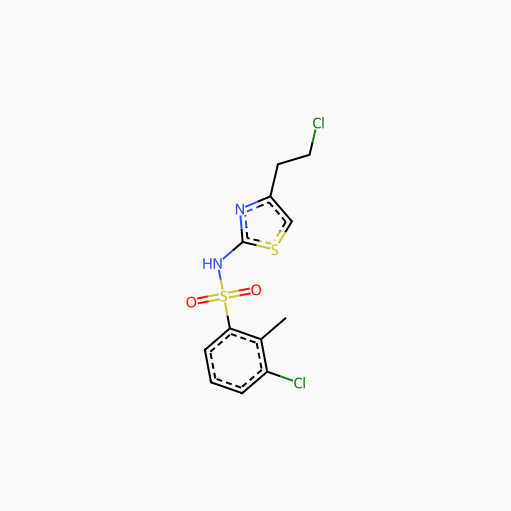 Cc1c(Cl)cccc1S(=O)(=O)Nc1nc(CCCl)cs1